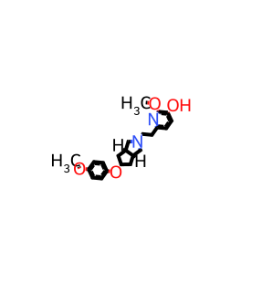 COc1ccc(O[C@H]2C[C@@H]3CN(CCc4ccc(O)c(OC)n4)C[C@@H]3C2)cc1